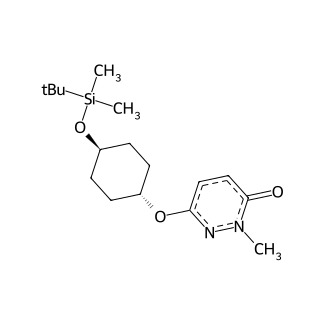 Cn1nc(O[C@H]2CC[C@H](O[Si](C)(C)C(C)(C)C)CC2)ccc1=O